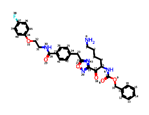 NCCCCC(NC(=O)OCc1ccccc1)C(=O)c1noc(Cc2ccc(C(=O)NCCOc3ccc(F)cc3)cc2)n1